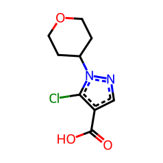 O=C(O)c1cnn(C2CCOCC2)c1Cl